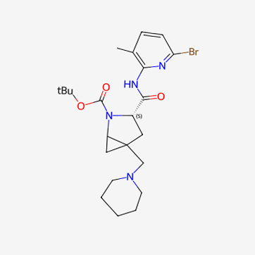 Cc1ccc(Br)nc1NC(=O)[C@@H]1CC2(CN3CCCCC3)CC2N1C(=O)OC(C)(C)C